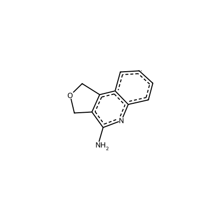 Nc1nc2cc[c]cc2c2c1COC2